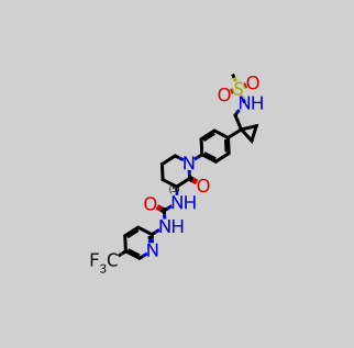 CS(=O)(=O)NCC1(c2ccc(N3CCC[C@H](NC(=O)Nc4ccc(C(F)(F)F)cn4)C3=O)cc2)CC1